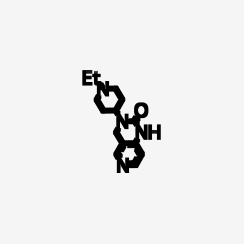 CCN1CCC(N2Cc3cnccc3NC2=O)CC1